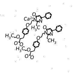 CCOC(Cc1ccc(OCCn2c(CC)nc(-c3ccccc3)cc2=O)cc1)C(=O)[O-].CCOC(Cc1ccc(OCCn2c(CC)nc(-c3ccccc3)cc2=O)cc1)C(=O)[O-].[Ca+2]